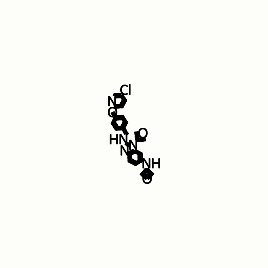 Clc1ccc(Oc2ccc(CNc3nc4ccc(NC5COC5)cc4n3C3COC3)cc2)nc1